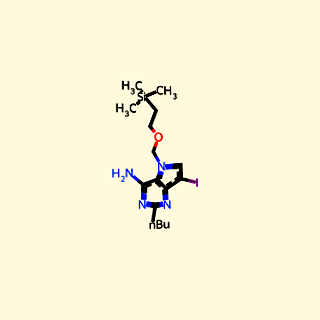 CCCCc1nc(N)c2c(n1)c(I)cn2COCC[Si](C)(C)C